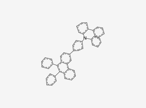 c1ccc(-c2ccccc2N(c2ccccc2)c2ccc(-c3ccc4c(-c5ccccc5)c(-c5ccccc5)c5ccccc5c4c3)cc2)cc1